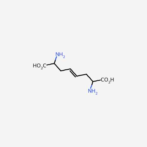 NC(CC=CCC(N)C(=O)O)C(=O)O